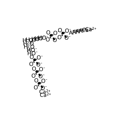 O.O.O.O.O=P([O-])([O-])[O-].O=P([O-])([O-])[O-].O=P([O-])([O-])[O-].O=P([O-])([O-])[O-].O=P([O-])([O-])[O-].[Al+3].[Al+3].[Al+3].[Al+3].[Ca+2].[Ca+2].[Ca+2].[Ca+2].[OH-].[OH-].[OH-].[OH-].[OH-]